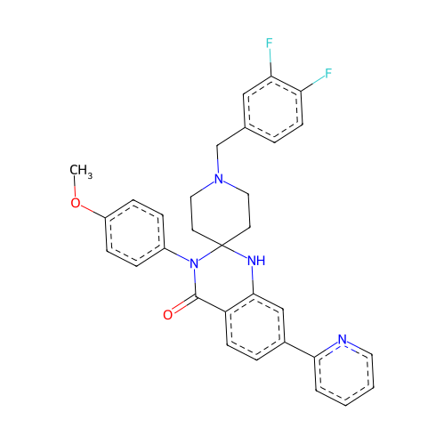 COc1ccc(N2C(=O)c3ccc(-c4ccccn4)cc3NC23CCN(Cc2ccc(F)c(F)c2)CC3)cc1